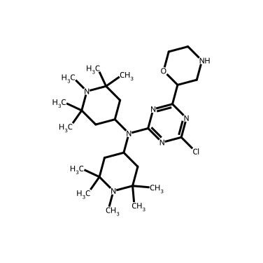 CN1C(C)(C)CC(N(c2nc(Cl)nc(C3CNCCO3)n2)C2CC(C)(C)N(C)C(C)(C)C2)CC1(C)C